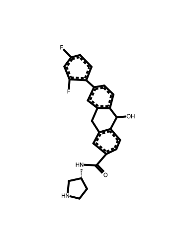 O=C(N[C@@H]1CCNC1)c1ccc2c(c1)Cc1cc(-c3ccc(F)cc3F)ccc1C2O